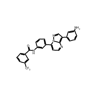 Nc1cccc(-c2cnn3c(-c4cccc(NC(=O)c5cccc(C(F)(F)F)c5)c4)ccnc23)c1